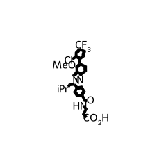 COc1c(-c2ccc(C(F)(F)F)cc2Cl)ccc2nn(C(CC(C)C)c3ccc(C(=O)NCCC(=O)O)cc3)cc12